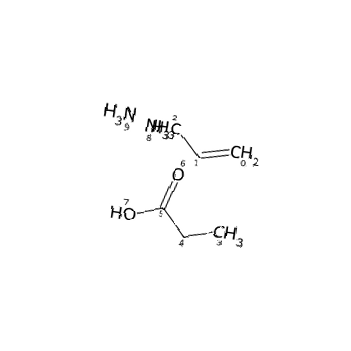 C=CC.CCC(=O)O.N.N